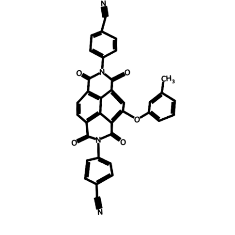 Cc1cccc(Oc2cc3c4c(ccc5c4c2C(=O)N(c2ccc(C#N)cc2)C5=O)C(=O)N(c2ccc(C#N)cc2)C3=O)c1